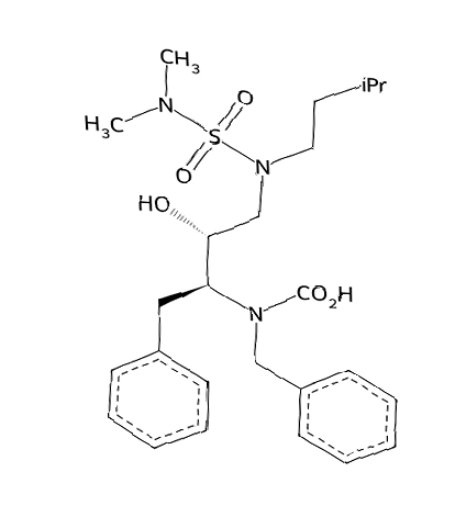 CC(C)CCN(C[C@@H](O)[C@H](Cc1ccccc1)N(Cc1ccccc1)C(=O)O)S(=O)(=O)N(C)C